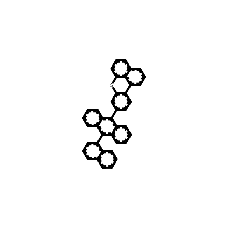 c1ccc2c(-c3c4ccccc4c(-c4ccc5c(c4)Sc4cccc6cccc-5c46)c4ccccc34)cccc2c1